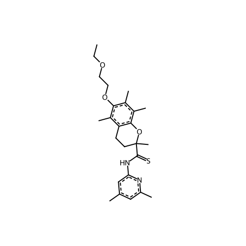 CCOCCOc1c(C)c(C)c2c(c1C)CCC(C)(C(=S)Nc1cc(C)cc(C)n1)O2